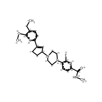 CCc1ccc(C2=CC(N3CCN(c4ccc(C(=O)NC)nc4F)CC3)CC2)nc1OC